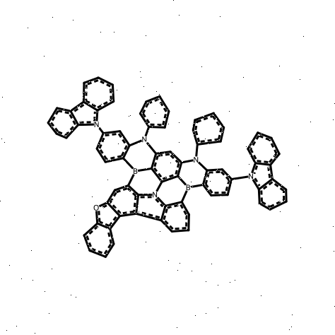 c1ccc(N2c3cc(-n4c5ccccc5c5ccccc54)ccc3B3c4c2cc2c5c4-n4c6c3cccc6c3c6c(cc(c34)B5c3ccc(-n4c5ccccc5c5ccccc54)cc3N2c2ccccc2)oc2ccccc26)cc1